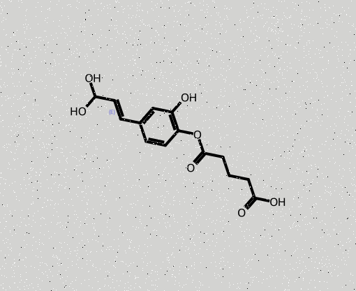 O=C(O)CCCC(=O)Oc1ccc(/C=C/C(O)O)cc1O